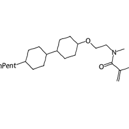 C=C(C)C(=O)N(C)CCOC1CCC(C2CCC(CCCCC)CC2)CC1